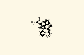 CC(O)OC(C)N1C(=S)N(c2ccccn2)C(=O)C1=C1C(Cl)=CC=C2OCN(CCCCS(=O)(=O)O)C21